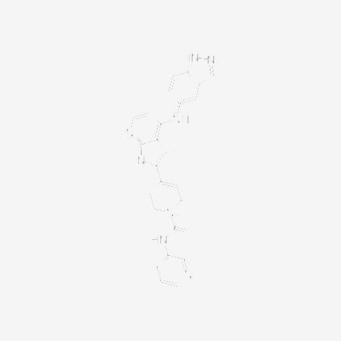 O=C(Nc1cccnc1)N1CC=C(c2cc3c(Nc4ccc5[nH]ncc5c4)ccnc3[nH]2)CC1